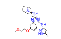 COCCOC1=C/C(=N/C(=N\CNc2cc(C)[nH]n2)NC2CC3CCC(C2)N3CCC#N)CC=C1